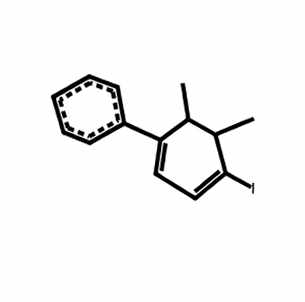 CC1C(I)=CC=C(c2ccccc2)C1C